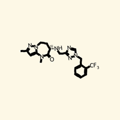 Cc1cc2n(n1)CC[C@H](NCc1ncn(Cc3ccccc3C(F)(F)F)n1)C(=O)N2C